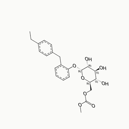 CCc1ccc(Cc2ccccc2O[C@H]2O[C@H](COC(=O)OC)[C@@H](O)[C@H](O)[C@H]2O)cc1